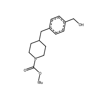 CC(C)(C)OC(=O)N1CCC(Cc2ccc(CO)cc2)CC1